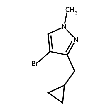 Cn1cc(Br)c(CC2CC2)n1